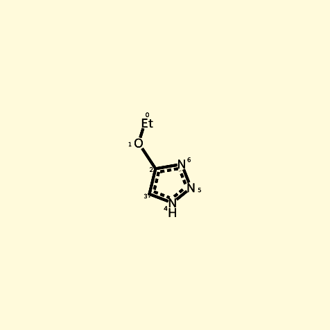 [CH2]COc1[c][nH]nn1